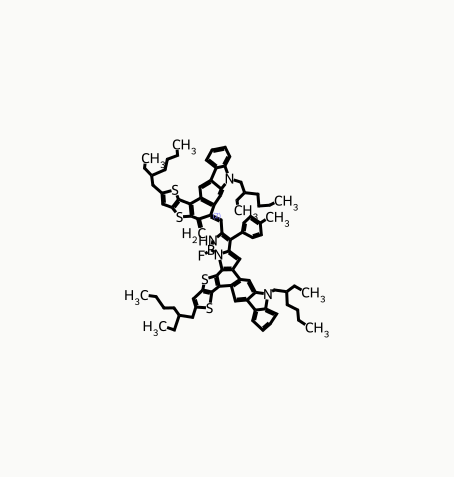 C=c1/c(=C\C2=C(c3ccc(C)cc3)c3cc4c5cc6c(cc5c5c7sc(CC(CC)CCCC)cc7sc5c4n3B(F)N2)c2ccccc2n6CC(CC)CCCC)c2cc3c(cc2c2c1sc1cc(CC(CC)CCCC)sc12)c1ccccc1n3CC(CC)CCCC